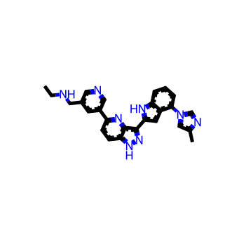 CCNCc1cncc(-c2ccc3[nH]nc(-c4cc5c(-n6cnc(C)c6)cccc5[nH]4)c3n2)c1